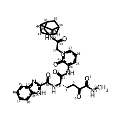 CNC(=O)C(=O)CC[C@H](NC(=O)c1nc2ccccc2[nH]1)C(=O)Nc1cccn(CC(=O)NC2C3CC4CC(C3)C2C4)c1=O